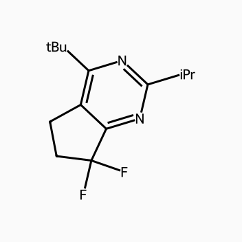 CC(C)c1nc(C(C)(C)C)c2c(n1)C(F)(F)CC2